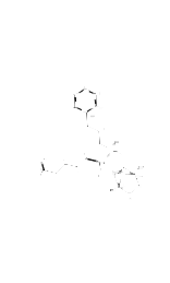 O=C(O)CCC/C=C\C[C@@H]1[C@H](CS(=O)(=O)CCCc2ccccc2)[C@@H]2CC[C@H]1O2